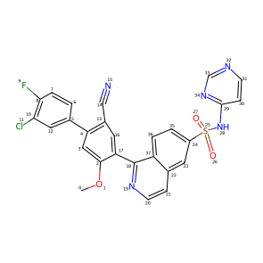 COc1cc(-c2ccc(F)c(Cl)c2)c(C#N)cc1-c1nccc2cc(S(=O)(=O)Nc3ccncn3)ccc12